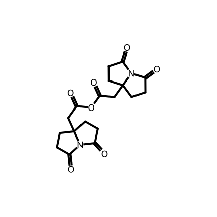 O=C(CC12CCC(=O)N1C(=O)CC2)OC(=O)CC12CCC(=O)N1C(=O)CC2